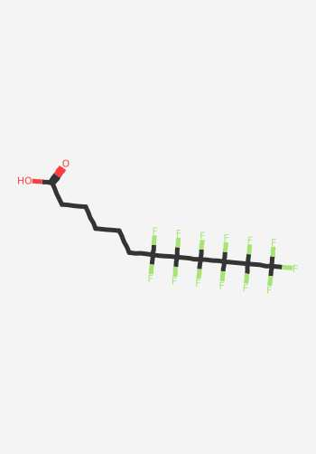 O=C(O)CCCCCC(F)(F)C(F)(F)C(F)(F)C(F)(F)C(F)(F)C(F)(F)F